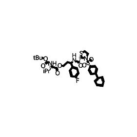 CC(C)[C@H](NC(=O)OC(C)(C)C)C(=O)OCCC(NC(=O)[C@@H]1SCCN1S(=O)(=O)c1ccc(-c2ccccc2)cc1)c1ccc(F)cc1